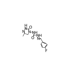 CC1=NNC(=O)N(NC(=O)N/N=C/c2ccc(F)cc2)C1